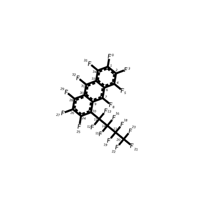 Fc1c(F)c(F)c2c(F)c3c(C(F)(F)C(F)(F)C(F)(F)C(F)(F)F)c(F)c(F)c(F)c3c(F)c2c1F